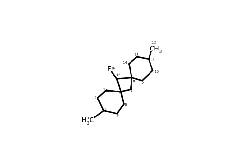 CC1CC[C@]2(CC1)C[C@@]1(CCC(C)CC1)C2F